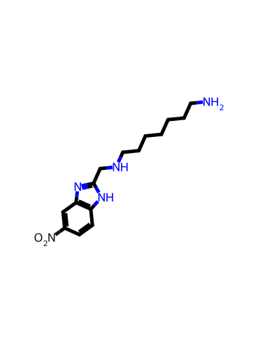 NCCCCCCCNCc1nc2cc([N+](=O)[O-])ccc2[nH]1